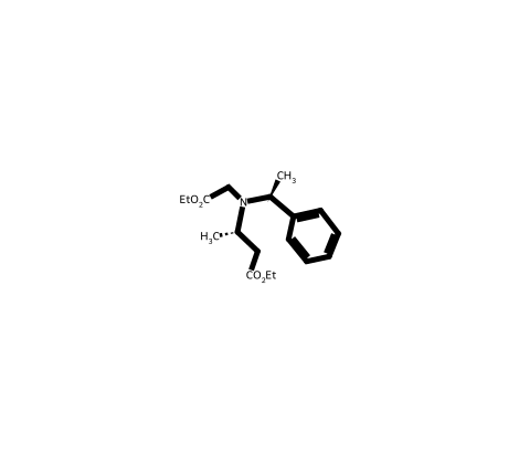 CCOC(=O)C[C@H](C)N(CC(=O)OCC)[C@@H](C)c1ccccc1